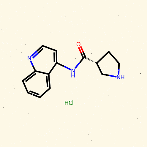 Cl.O=C(Nc1ccnc2ccccc12)[C@@H]1CCNC1